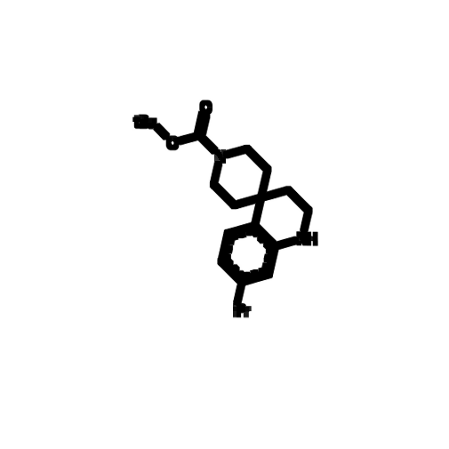 CC(C)c1ccc2c(c1)NCCC21CCN(C(=O)OC(C)(C)C)CC1